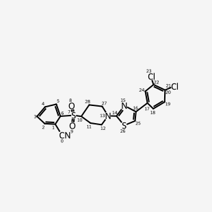 N#Cc1ccccc1S(=O)(=O)C1CCN(c2nc(-c3ccc(Cl)c(Cl)c3)cs2)CC1